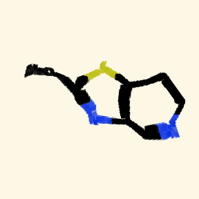 COc1nc2cnccc2s1